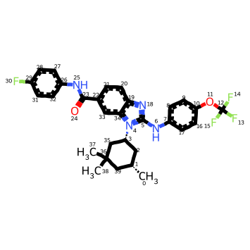 C[C@H]1C[C@@H](n2c(Nc3ccc(OC(F)(F)F)cc3)nc3ccc(C(=O)Nc4ccc(F)cc4)cc32)CC(C)(C)C1